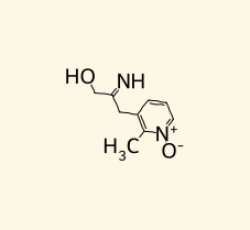 Cc1c(CC(=N)CO)ccc[n+]1[O-]